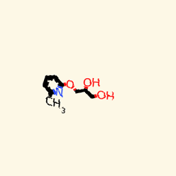 Cc1cccc(OCC(O)CO)n1